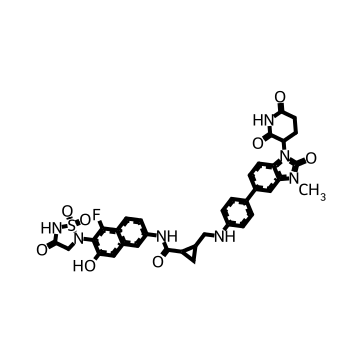 Cn1c(=O)n(C2CCC(=O)NC2=O)c2ccc(-c3ccc(NCC4CC4C(=O)Nc4ccc5c(F)c(N6CC(=O)NS6(=O)=O)c(O)cc5c4)cc3)cc21